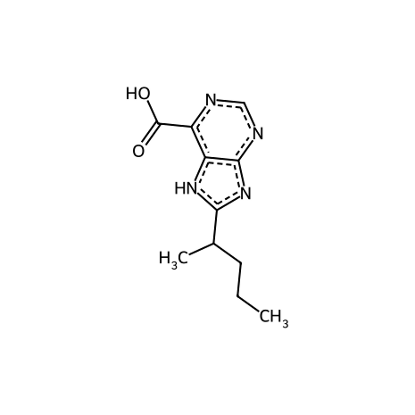 CCCC(C)c1nc2ncnc(C(=O)O)c2[nH]1